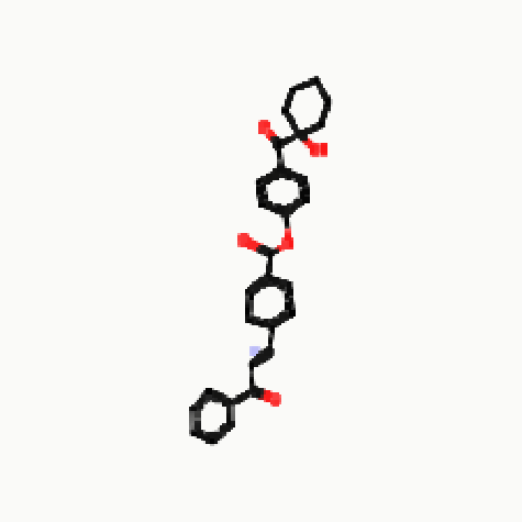 O=C(/C=C/c1ccc(C(=O)Oc2ccc(C(=O)C3(O)CCCCC3)cc2)cc1)c1ccccc1